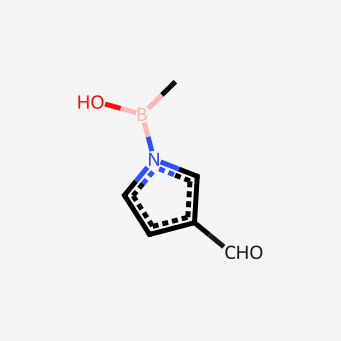 CB(O)n1ccc(C=O)c1